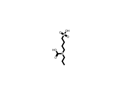 CCCN(CCCCS(=O)(=O)O)C(=O)O